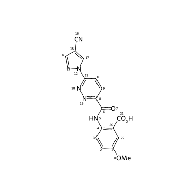 COc1ccc(NC(=O)c2ccc(-n3ccc(C#N)c3)nn2)c(C(=O)O)c1